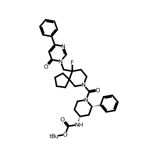 CC(C)(C)OC(=O)N[C@@H]1CCN(C(=O)N2CCC(F)(Cn3cnc(-c4ccccc4)cc3=O)C3(CCCC3)C2)[C@H](c2ccccc2)C1